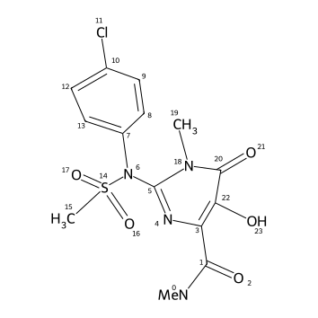 CNC(=O)c1nc(N(c2ccc(Cl)cc2)S(C)(=O)=O)n(C)c(=O)c1O